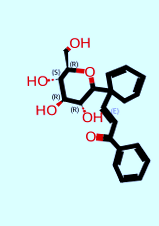 O=C(/C=C/C1(C2O[C@H](CO)[C@@H](O)[C@H](O)[C@H]2O)C=CC=CC1)c1ccccc1